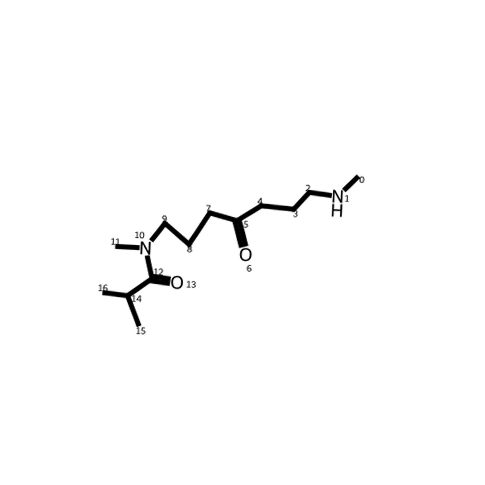 CNCCCC(=O)CCCN(C)C(=O)C(C)C